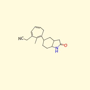 CC1=C(C2CCC3NC(=O)CC3C2)CC=CC=C1CC#N